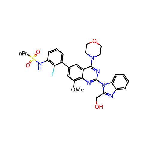 CCCS(=O)(=O)Nc1cccc(-c2cc(OC)c3nc(-n4c(CO)nc5ccccc54)nc(N4CCOCC4)c3c2)c1F